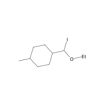 CCOC(I)C1CCC(C)CC1